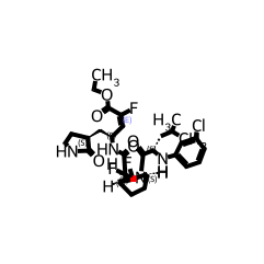 CCOC(=O)/C(F)=C\[C@H](C[C@@H]1CCNC1=O)NC(=O)[C@@H]1[C@@H]2CC[C@@H](CC2(F)F)N1C(=O)[C@H](CC(C)C)Nc1cccc(Cl)c1